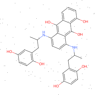 CC(Cc1cc(O)ccc1O)Nc1ccc(NC(C)Cc2cc(O)ccc2O)c2c(O)c3c(O)cccc3c(O)c12